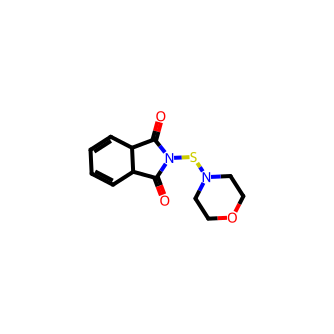 O=C1C2C=CC=CC2C(=O)N1SN1CCOCC1